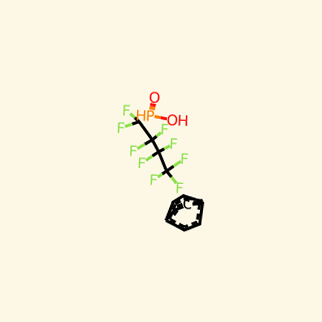 O=[PH](O)C(F)(F)C(F)(F)C(F)(F)C(F)(F)F.c1cc2ccc1cc2